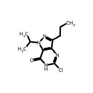 CCCc1nn(C(C)C)c2c(=O)[nH]c(Cl)nc12